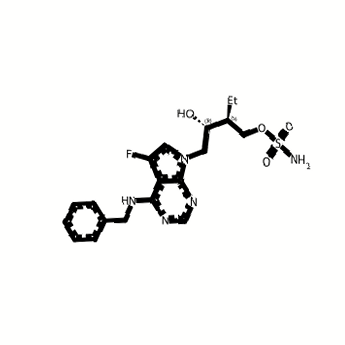 CC[C@@H](COS(N)(=O)=O)[C@@H](O)Cn1cc(F)c2c(NCc3ccccc3)ncnc21